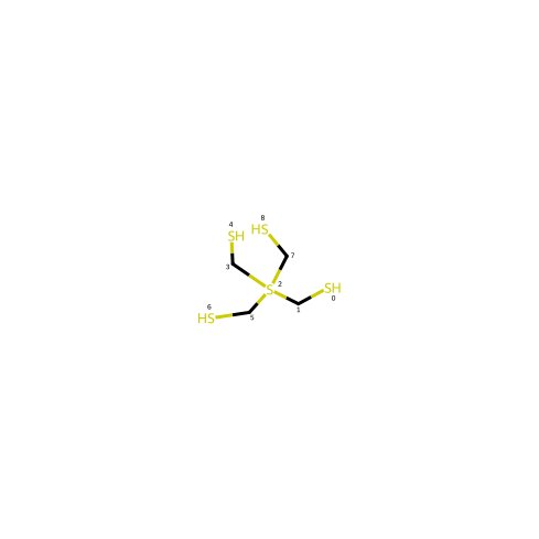 SCS(CS)(CS)CS